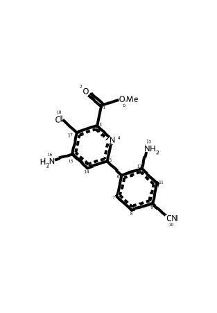 COC(=O)c1nc(-c2ccc(C#N)cc2N)cc(N)c1Cl